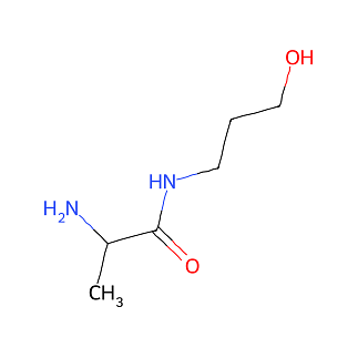 CC(N)C(=O)NCCCO